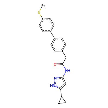 CCSc1ccc(-c2ccc(CC(=O)Nc3cc(C4CC4)[nH]n3)cc2)cc1